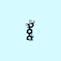 C[C@]1(c2ccc(C3CCNCC3(F)F)cc2)CCC(=O)NC1=O